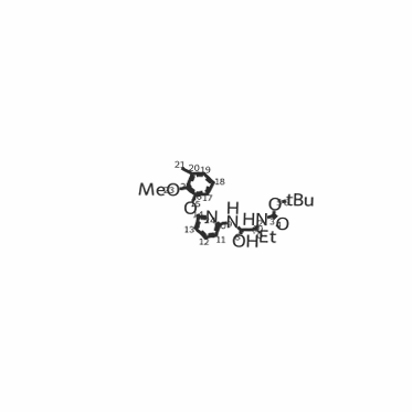 CC[C@@H](NC(=O)OC(C)(C)C)C(O)Nc1cccc(Oc2cccc(C)c2OC)n1